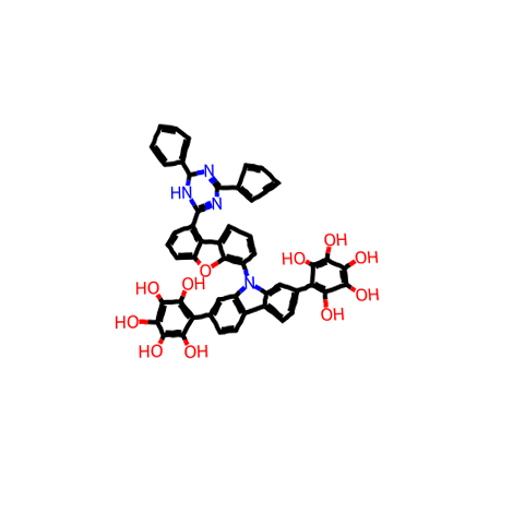 Oc1c(O)c(O)c(-c2ccc3c4ccc(-c5c(O)c(O)c(O)c(O)c5O)cc4n(-c4cccc5c4oc4cccc(C6=NC(c7ccccc7)=NC(c7ccccc7)N6)c45)c3c2)c(O)c1O